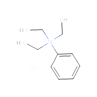 B.CC[N+](CC)(CC)c1ccccc1